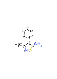 Cc1nsc(N)c1-c1ccccc1